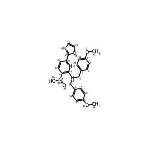 COc1ccc(CN(Cc2ccc(OC)cc2)c2nc(-c3ncco3)ccc2[N+](=O)O)cc1